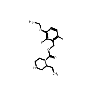 CCOc1ccc(F)c(COC(=O)N2CCNCC2CC)c1F